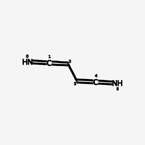 N=C=CC=C=N